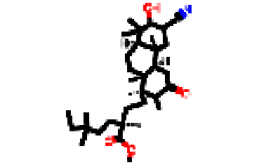 CCC(C)(C)CC[C@@](C)(CC[C@]1(C)C(C)C(=O)C[C@@H]2[C@@]3(C)CC(C#N)C(O)C(C)(C)[C@@H]3CC[C@]21C)C(=O)OC